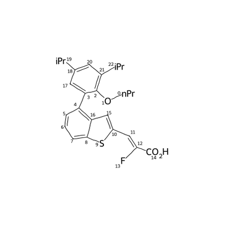 CCCOc1c(-c2cccc3sc(C=C(F)C(=O)O)cc23)cc(C(C)C)cc1C(C)C